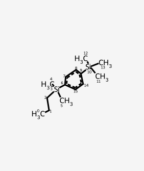 CCC[Si](C)(C)c1ccc([Si](C)(C)C)cc1